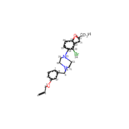 C=CCOc1cccc(CN2CCN(c3ccc4oc(C(=O)O)cc4c3Br)CC2)c1